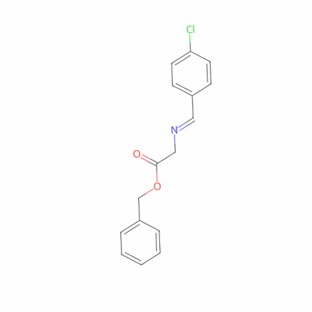 O=C(CN=Cc1ccc(Cl)cc1)OCc1ccccc1